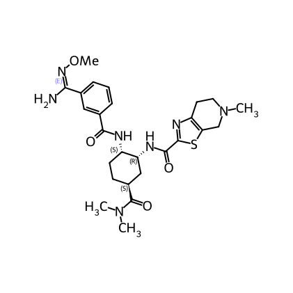 CO/N=C(/N)c1cccc(C(=O)N[C@H]2CC[C@H](C(=O)N(C)C)C[C@H]2NC(=O)c2nc3c(s2)CN(C)CC3)c1